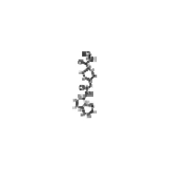 O=C(Cc1ccc(C(=O)NO)cc1)Nc1cccc2cccnc12